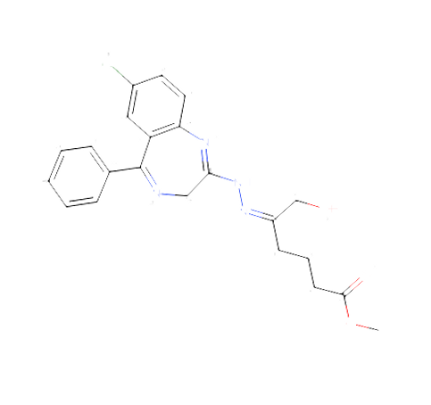 COC(=O)CCCC(CO)=NNC1=Nc2ccc(Cl)cc2C(c2ccccc2)=NC1